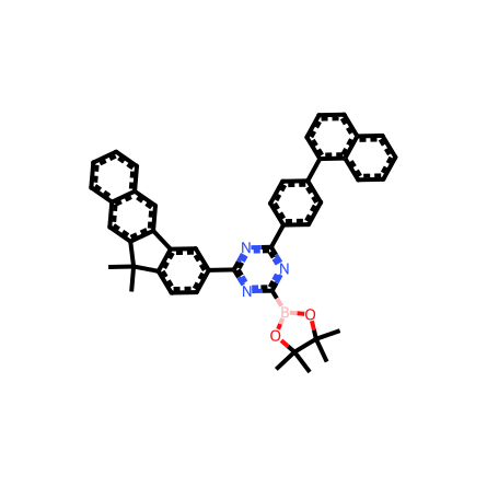 CC1(C)c2ccc(-c3nc(B4OC(C)(C)C(C)(C)O4)nc(-c4ccc(-c5cccc6ccccc56)cc4)n3)cc2-c2cc3ccccc3cc21